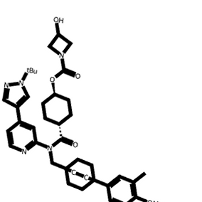 COc1ncc(C23CCC(CN(c4cc(-c5cnn(C(C)(C)C)c5)ccn4)C(=O)[C@H]4CC[C@H](OC(=O)N5CC(O)C5)CC4)(CC2)CC3)cc1C